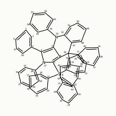 c1ccc(-c2c3c(c([Si](c4ccccc4)(c4ccccc4)c4ccccc4)n2-c2ccccc2)C(c2ccccc2)(c2ccccc2)c2ccccc2N3c2ccccc2)cc1